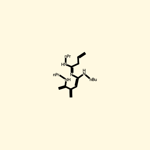 C=CC/C(=N\C(=C/C(=C)C(=C)NCCC)NCCCC)NCCC